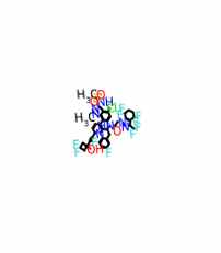 Cn1nc(NS(C)(=O)=O)c2c(Cl)ccc(-c3ccc(C#CC4(O)CC(F)(F)C4)nc3C(Cc3cc(F)cc(F)c3)NC(=O)Cn3nc(C(F)F)c4c3C(F)(F)CCC4(F)F)c21